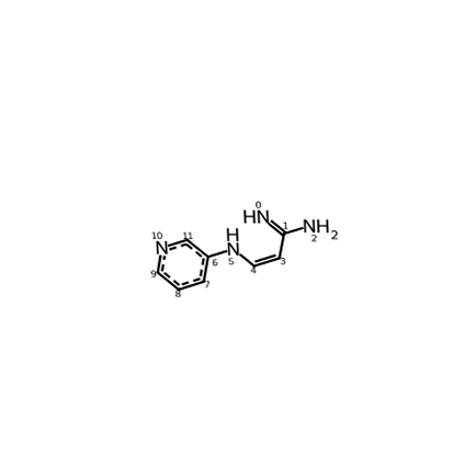 N=C(N)/C=C\Nc1cccnc1